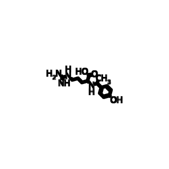 CC(NC(CCCNC(=N)N)C(=O)O)c1ccc(O)cc1